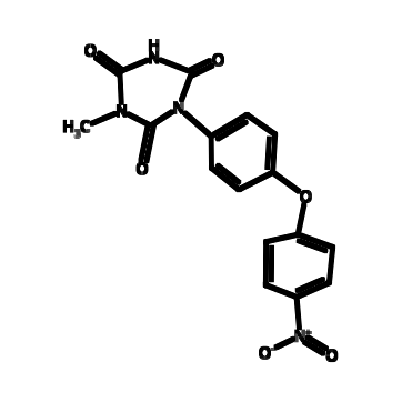 Cn1c(=O)[nH]c(=O)n(-c2ccc(Oc3ccc([N+](=O)[O-])cc3)cc2)c1=O